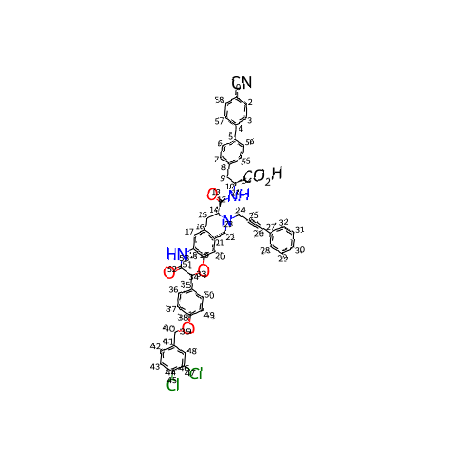 N#Cc1ccc(-c2ccc(C[C@H](NC(=O)[C@@H]3Cc4cc5c(cc4CN3CC#Cc3ccccc3)OC(c3ccc(OCc4ccc(Cl)c(Cl)c4)cc3)C(=O)N5)C(=O)O)cc2)cc1